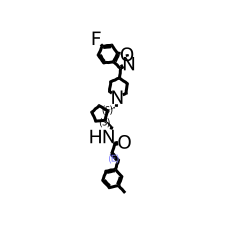 Cc1cccc(/C=C/C(=O)NC[C@H]2CCC[C@@H]2CN2CCC(c3noc4cc(F)ccc34)CC2)c1